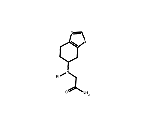 CCN(CC(N)=O)C1CCc2ncsc2C1